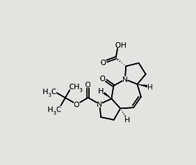 CC(C)(C)OC(=O)N1CC[C@@H]2C=C[C@H]3CC[C@@H](C(=O)O)N3C(=O)[C@H]21